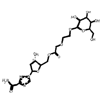 NC(=O)c1ncn(C2C[C@H](O)C(COC(=O)COCCOC3OC(CO)C(O)C(O)C3O)O2)n1